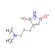 CN(C)CCCC1=CC(=O)NC1=O